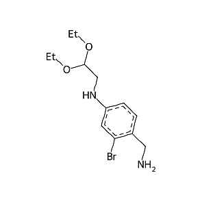 CCOC(CNc1ccc(CN)c(Br)c1)OCC